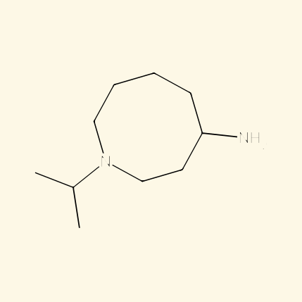 CC(C)N1CCCCC(N)CC1